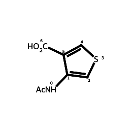 CC(=O)Nc1cscc1C(=O)O